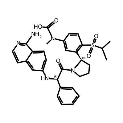 CC(C)S(=O)(=O)c1ccc(N(C)C(=O)O)cc1[C@H]1CCCN1C(=O)[C@H](Nc1ccc2c(N)nccc2c1)c1ccccc1